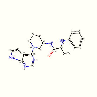 CCC(Nc1ccccc1)C(=O)NC1CCCN(c2ncnc3[nH]ccc23)C1